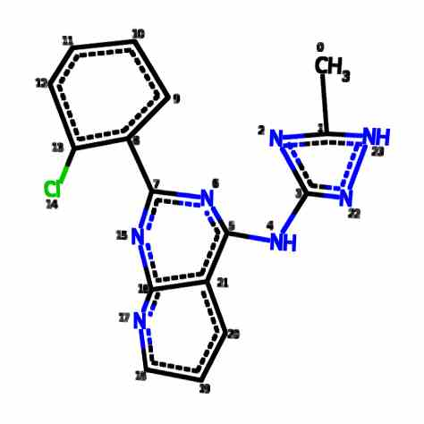 Cc1nc(Nc2nc(-c3ccccc3Cl)nc3ncccc23)n[nH]1